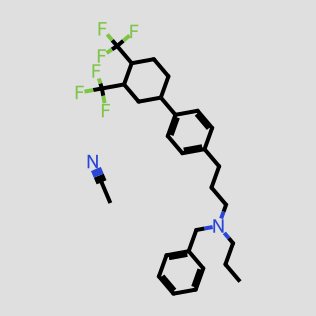 CC#N.CCCN(CCCc1ccc(C2CCC(C(F)(F)F)C(C(F)(F)F)C2)cc1)Cc1ccccc1